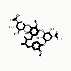 COc1cc(CC(C)C(C)Cc2ccc(OC)c(O[C@@H]3O[C@H](C(=O)O)[C@@H](O)[C@H](O)[C@H]3O)c2)ccc1O[C@@H]1O[C@H](C(=O)O)[C@@H](O)[C@H](O)[C@H]1O